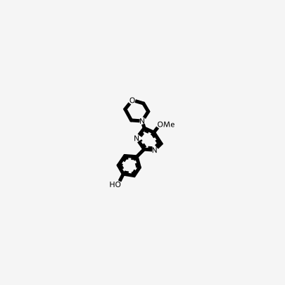 COc1cnc(-c2ccc(O)cc2)nc1N1CCOCC1